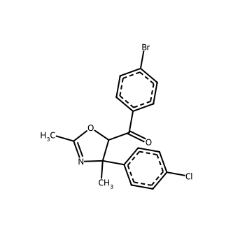 CC1=NC(C)(c2ccc(Cl)cc2)C(C(=O)c2ccc(Br)cc2)O1